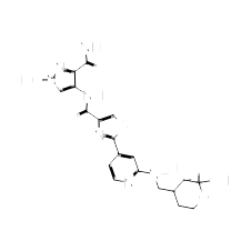 Cn1cc(NC(=O)c2coc(-c3ccnc(NCC4CCOC(C)(C)C4)c3)n2)c(C(N)=O)n1